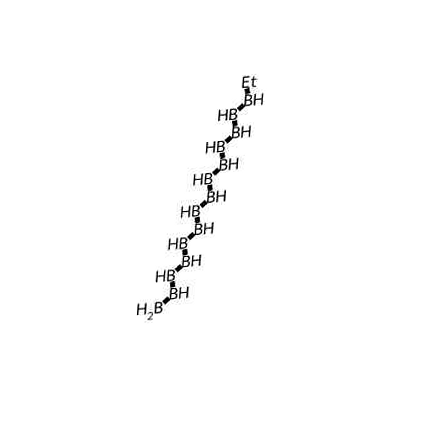 BBBBBBBBBBBBBBCC